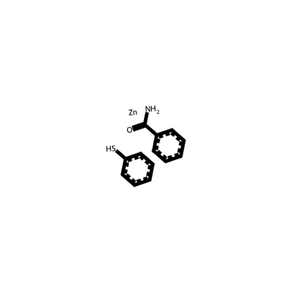 NC(=O)c1ccccc1.Sc1ccccc1.[Zn]